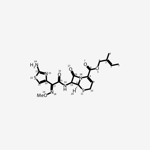 CC=C(C)COC(=O)C1=CCS[C@H]2C(NC(=O)C(=NOC)c3csc(N)n3)C(=O)N12